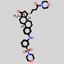 C[C@]12CC[C@@H]3c4ccc(Nc5cccc(S(=O)(=O)N6CCOCC6)c5)cc4CC[C@H]3[C@@H]1[C@@H](CCCC(=O)N1CCOCC1)CC2=O